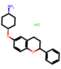 Cl.N[C@H]1CC[C@@H](Oc2ccc3c(c2)CCC(c2ccccc2)O3)CC1